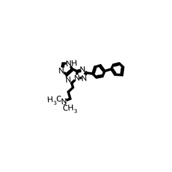 CN(C)CCCc1nc2nc[nH]c2c2nc(-c3ccc(-c4ccccc4)cc3)nn12